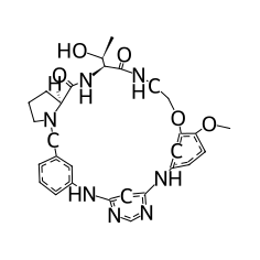 COc1ccc2cc1OCCNC(=O)[C@H]([C@H](C)O)NC(=O)[C@@H]1CCCN1Cc1cccc(c1)Nc1cc(ncn1)N2